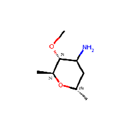 CO[C@@H]1C(N)C[C@H](C)O[C@H]1C